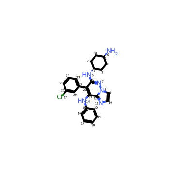 N[C@H]1CC[C@H](Nc2nn3ccnc3c(Nc3ccccc3)c2-c2cccc(Cl)c2)CC1